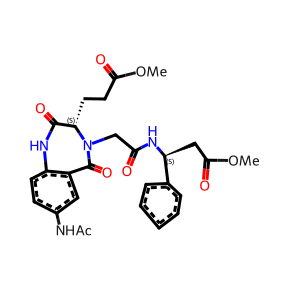 COC(=O)CC[C@H]1C(=O)Nc2ccc(NC(C)=O)cc2C(=O)N1CC(=O)N[C@@H](CC(=O)OC)c1ccccc1